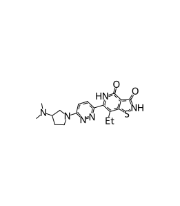 CCc1c(-c2ccc(N3CCC(N(C)C)C3)nn2)[nH]c(=O)c2c(=O)[nH]sc12